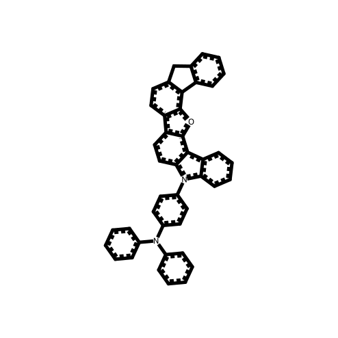 c1ccc(N(c2ccccc2)c2ccc(-n3c4ccccc4c4c5oc6c7c(ccc6c5ccc43)Cc3ccccc3-7)cc2)cc1